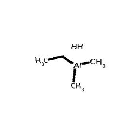 C[CH2][Al]([CH3])[CH3].[HH]